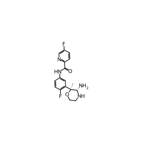 C[C@@]1(c2cc(NC(=O)c3ccc(F)cn3)ccc2F)OCCN[C@H]1N